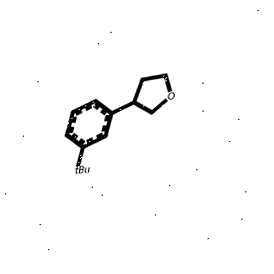 CC(C)(C)c1cccc(C2CCOC2)c1